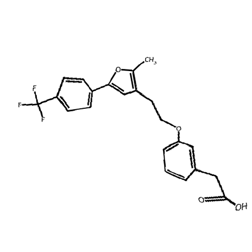 Cc1oc(-c2ccc(C(F)(F)F)cc2)cc1CCOc1cccc(CC(=O)O)c1